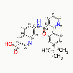 CC(C)(C)c1ccc(-c2ncccc2C(=O)Nc2ccc3cc(C(=O)O)cnc3c2)cc1